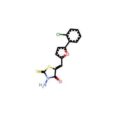 NN1C(=O)C(=Cc2ccc(-c3ccccc3Cl)o2)SC1=S